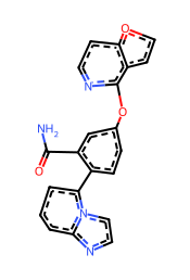 NC(=O)c1cc(Oc2nccc3occc23)ccc1-c1cccc2nccn12